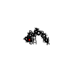 CC(F)(F)c1nc(N2CC3(CC3)c3cc(OC4CCN(c5ncc(F)cn5)CC4)ccc32)ncc1C(=O)NC1(C(=O)O)C2CC3CC(C2)CC1C3